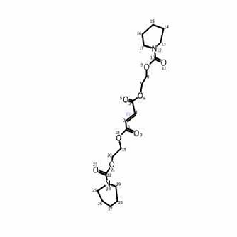 O=C(/C=C/C(=O)OCCOC(=O)N1CCCCC1)OCCOC(=O)N1CCCCC1